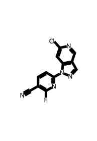 N#Cc1ccc(-n2ncc3cnc(Cl)cc32)nc1F